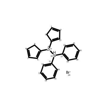 C1=CC[C]([Zr+]([C]2=CC=CC2)[SiH](c2ccccc2)c2ccccc2)=C1.[Br-]